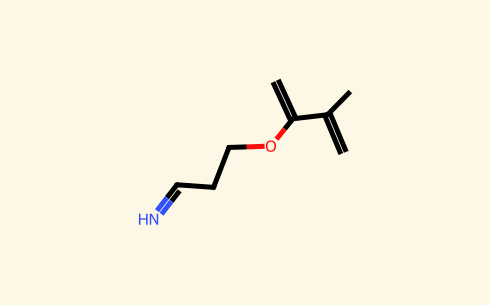 C=C(C)C(=C)OCCC=N